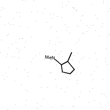 CNC1CCCC1C